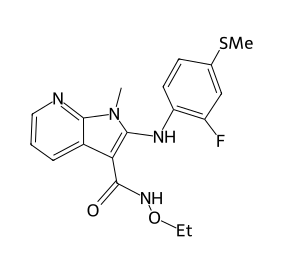 CCONC(=O)c1c(Nc2ccc(SC)cc2F)n(C)c2ncccc12